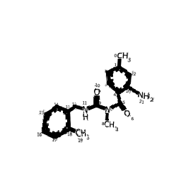 Cc1ccc(C(=O)N(C)C(=O)NCc2ccccc2C)c(N)c1